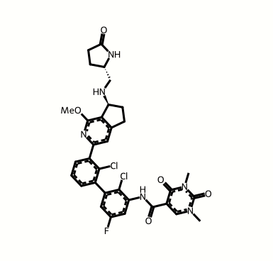 COc1nc(-c2cccc(-c3cc(F)cc(NC(=O)c4cn(C)c(=O)n(C)c4=O)c3Cl)c2Cl)cc2c1[C@@H](NC[C@@H]1CCC(=O)N1)CC2